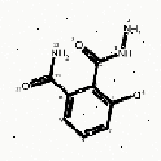 NNC(=O)c1c(Cl)cccc1C(N)=O